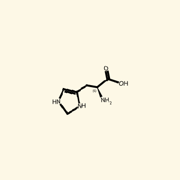 N[C@@H](CC1=CNCN1)C(=O)O